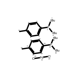 Cc1ccc(P(C(C)(C)C)C(C)(C)C)cc1.Cc1ccc(P(C(C)(C)C)C(C)(C)C)cc1.[Cl][Pd][Cl]